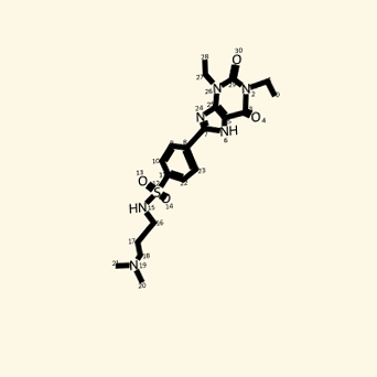 CCn1c(=O)c2[nH]c(-c3ccc(S(=O)(=O)NCCCN(C)C)cc3)nc2n(CC)c1=O